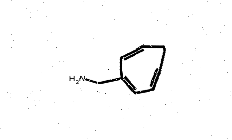 NCC1=CC=CCC=C1